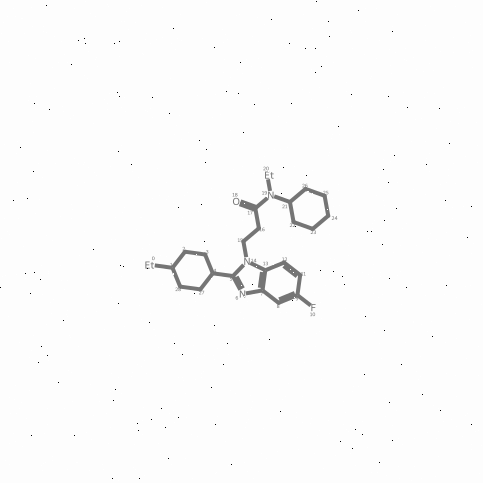 CCC1CCC(c2nc3cc(F)ccc3n2CCC(=O)N(CC)C2CCCCC2)CC1